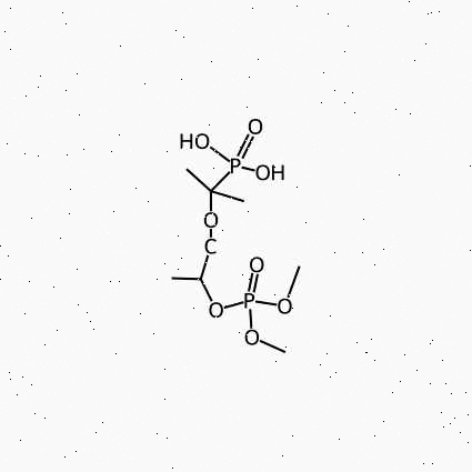 COP(=O)(OC)OC(C)COC(C)(C)P(=O)(O)O